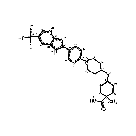 CC1(C(=O)O)CCC(OC2CCN(c3ccc(-c4nc5ncc(C(F)(F)F)cc5[nH]4)cn3)CC2)CC1